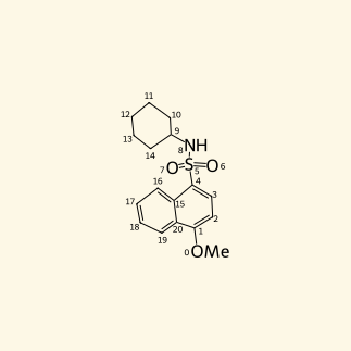 COc1ccc(S(=O)(=O)NC2CCCCC2)c2ccccc12